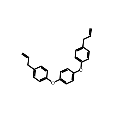 C=CCc1ccc(Oc2ccc(Oc3ccc(CC=C)cc3)cc2)cc1